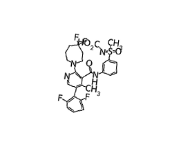 Cc1c(-c2c(F)cccc2F)cnc(N2CCCC(F)(F)CC2)c1C(=O)Nc1cccc(S(C)(=O)=NC(=O)O)c1